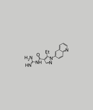 CCc1c(C(=O)NC(=N)N)cnn1-c1ccc2ncccc2c1